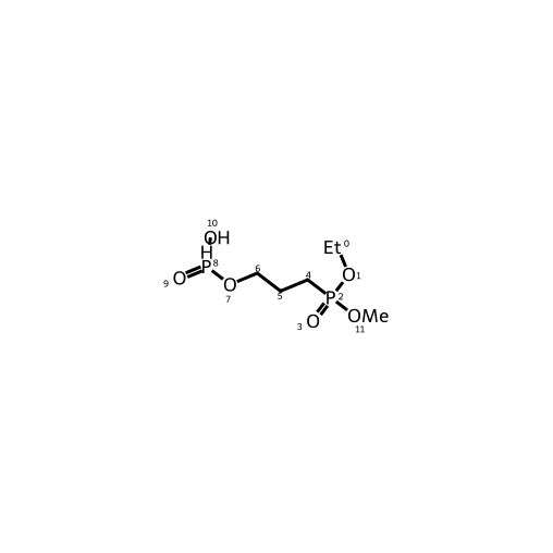 CCOP(=O)(CCCO[PH](=O)O)OC